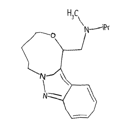 CC(C)N(C)CC1OCCCn2nc3ccccc3c21